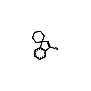 BrC1=CC2(CCCCC2)c2ccccc21